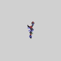 CC#CC(=O)Nc1cc2c(Nc3ccc(OCc4ncccn4)c(Cl)c3)ncnc2cc1OCCCN1CCOCC1